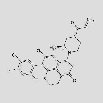 C=CC(=O)N1CCN(c2nc(=O)n3c4c(c(-c5cc(Cl)c(F)cc5F)c(Cl)cc24)SCC3)[C@@H](C)C1